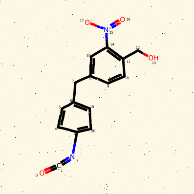 O=C=Nc1ccc(Cc2ccc(CO)c([N+](=O)[O-])c2)cc1